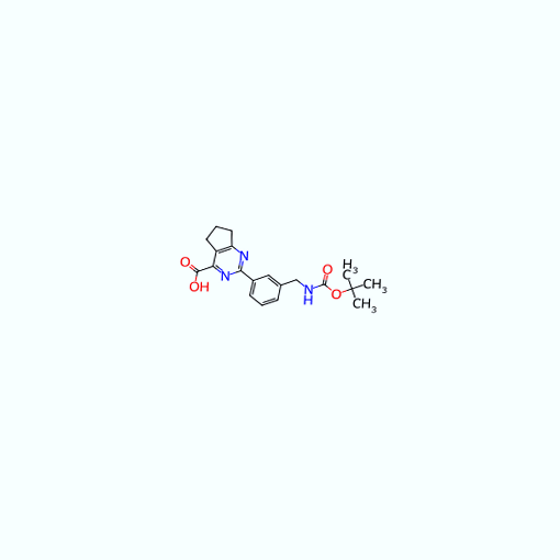 CC(C)(C)OC(=O)NCc1cccc(-c2nc3c(c(C(=O)O)n2)CCC3)c1